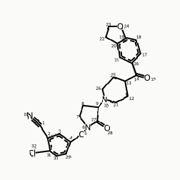 N#Cc1cc(CN2CCC(N3CCC(C(=O)c4ccc5c(c4)CCO5)CC3)C2=O)ccc1Cl